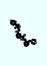 Cn1c(CNc2cccc(C(=O)NCc3ccccc3CN3CCOCC3)c2)nnc1-c1ccncn1